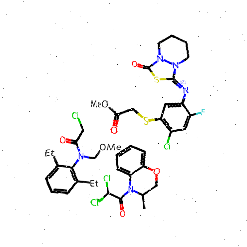 CC1COc2ccccc2N1C(=O)C(Cl)Cl.CCc1cccc(CC)c1N(COC)C(=O)CCl.COC(=O)CSc1cc(/N=c2\sc(=O)n3n2CCCC3)c(F)cc1Cl